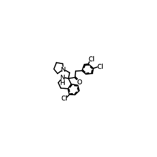 O=C(Cc1ccc(Cl)c(Cl)c1)C1(CN2CCCC2)NCCc2c(Cl)cccc21